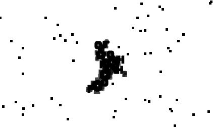 C=CC(=O)N1CC[C@H](c2nn(-c3ccc(Oc4ccc(F)cc4)cc3)c3c(N)n[nH]c(=O)c23)C1